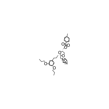 CCCOc1cc(CCC[C@@]2(Cn3ccnc3)OC[C@@H](COS(=O)(=O)c3ccc(C)cc3)O2)cc(OCCC)c1